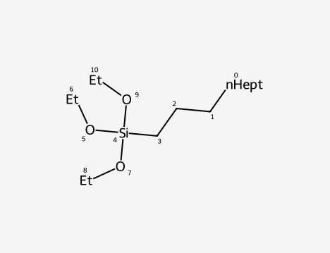 [CH2]CCCCCCCCC[Si](OCC)(OCC)OCC